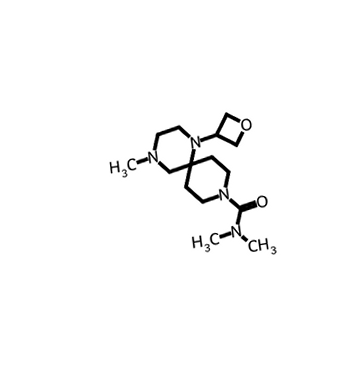 CN1CCN(C2COC2)C2(CCN(C(=O)N(C)C)CC2)C1